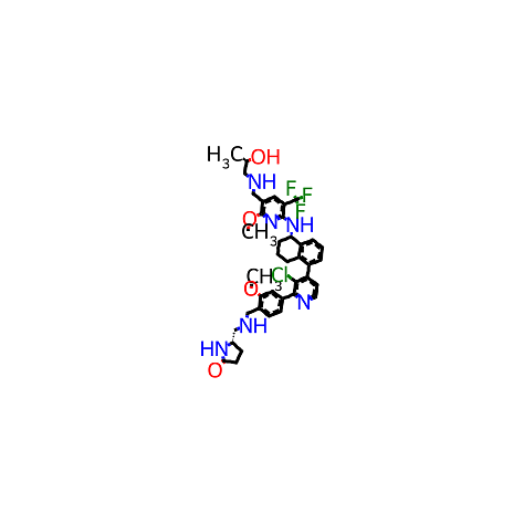 COc1cc(-c2nccc(-c3cccc4c3CCC[C@H]4Nc3nc(OC)c(CNC[C@@H](C)O)cc3C(F)(F)F)c2Cl)ccc1CNC[C@@H]1CCC(=O)N1